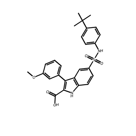 COc1cccc(-c2c(C(=O)O)[nH]c3ccc(S(=O)(=O)Nc4ccc(C(C)(C)C)cc4)cc23)c1